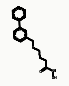 O=C(CCCSCc1cccc(-c2ccccc2)c1)NO